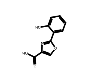 O=C(O)c1coc(-c2ccccc2O)n1